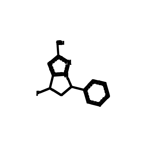 CC(C)(C)c1cc2n(n1)C(c1ccccc1)CC2F